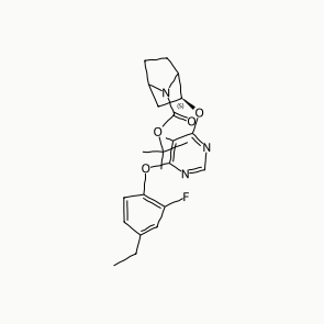 CCc1ccc(Oc2ncnc(O[C@H]3CC4CCC3N4C(=O)OC(C)(C)C)c2C)c(F)c1